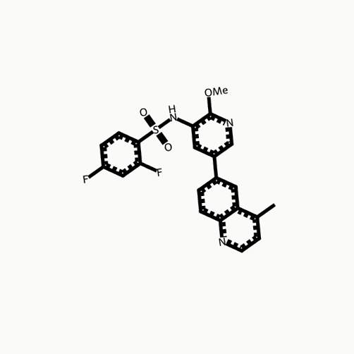 COc1ncc(-c2ccc3nccc(C)c3c2)cc1NS(=O)(=O)c1ccc(F)cc1F